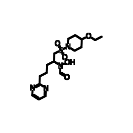 CCOC1CCN(S(=O)(=O)CC(CCCc2ncccn2)N(O)C=O)CC1